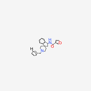 O=C(N[C@H]1CC2(CCN(C[C@@H]3C[C@H]4C=CC3C4)CC2)c2ccccc21)c1ccoc1